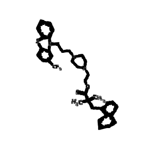 CC(C)(Cc1cccc2ccccc12)C(=S)OCCN1CCN(CCCN2c3ccccc3Sc3ccc(C(F)(F)F)cc32)CC1